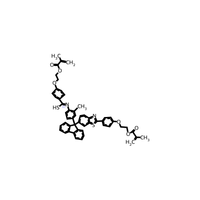 C=C(C)C(=O)OCCOc1ccc(/C(S)=N/c2ccc(C3(c4ccc5nc(-c6ccc(OCCOC(=O)C(=C)C)cc6)sc5c4)c4ccccc4-c4ccccc43)cc2C)cc1